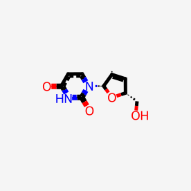 O=c1ccn([C@@H]2[C]=C[C@H](CO)O2)c(=O)[nH]1